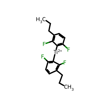 CCCc1ccc(F)[c]([Ti+2][c]2c(F)ccc(CCC)c2F)c1F